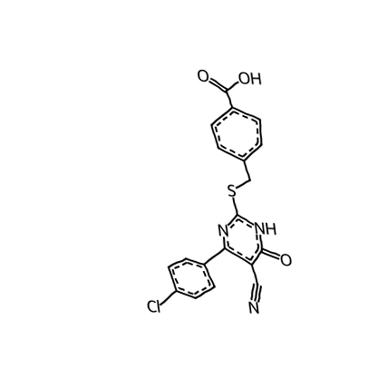 N#Cc1c(-c2ccc(Cl)cc2)nc(SCc2ccc(C(=O)O)cc2)[nH]c1=O